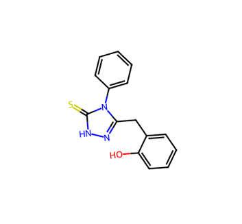 Oc1ccccc1Cc1n[nH]c(=S)n1-c1ccccc1